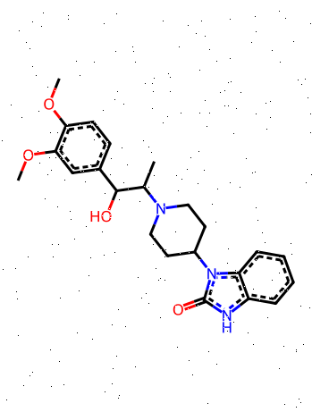 COc1ccc(C(O)C(C)N2CCC(n3c(=O)[nH]c4ccccc43)CC2)cc1OC